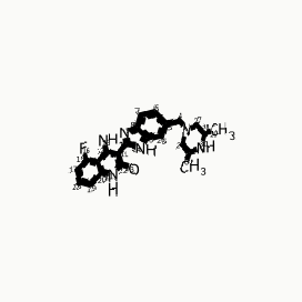 CC1CN(Cc2ccc3nc(-c4c(N)c5c(F)cccc5[nH]c4=O)[nH]c3c2)CC(C)N1